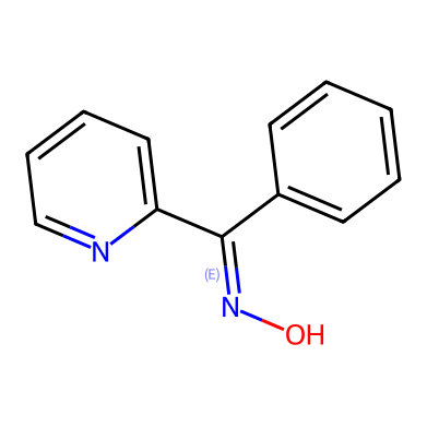 O/N=C(\c1ccccc1)c1ccccn1